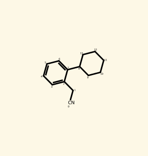 N#CCc1ccccc1C1CCCCC1